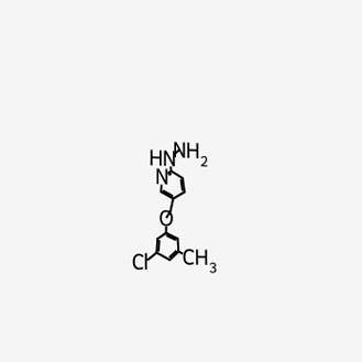 Cc1cc(Cl)cc(OCc2ccc(NN)nc2)c1